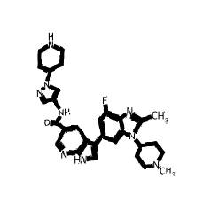 Cc1nc2c(F)cc(-c3c[nH]c4ncc(C(=O)Nc5cnn(C6CCNCC6)c5)cc34)cc2n1C1CCN(C)CC1